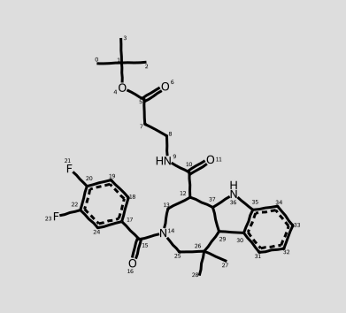 CC(C)(C)OC(=O)CCNC(=O)C1CN(C(=O)c2ccc(F)c(F)c2)CC(C)(C)C2c3ccccc3NC12